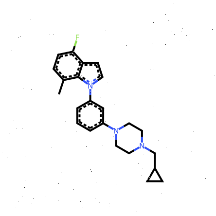 Cc1ccc(F)c2ccn(-c3cccc(N4CCN(CC5CC5)CC4)c3)c12